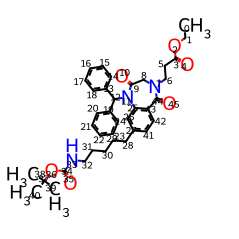 CCOC(=O)CCN1CC(=O)N(C(c2ccccc2)c2ccccc2)c2cc(CCCCCNC(=O)OC(C)(C)C)ccc2C1=O